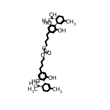 C=C(C)[C@@H]1CCC(C)=C[C@H]1c1c(O)cc(CCCCO[N+](=O)OCCCCc2cc(O)c([C@@H]3C=C(C)CC[C@H]3C(=C)C)c(O)c2)cc1O